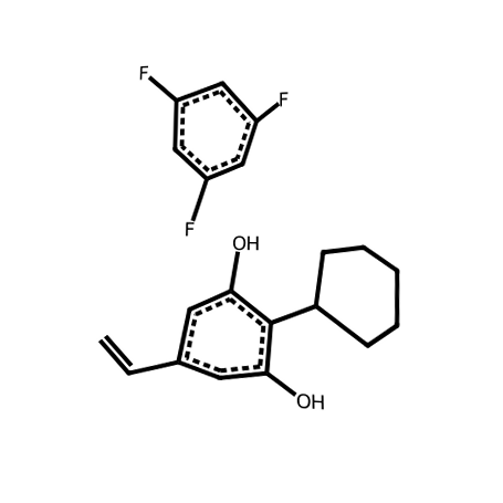 C=Cc1cc(O)c(C2CCCCC2)c(O)c1.Fc1cc(F)cc(F)c1